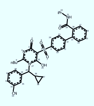 CCCCc1nc(=O)c(S(=O)(=O)c2ccc(-c3ccccc3C(=O)NC(C)C)cc2)c(O)n1C(c1cccc(C#N)c1)C1CC1